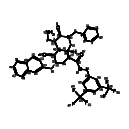 NC[C@H]1C(=O)N(Cc2ccccc2)C[C@@H]2N(C(=O)OCc3cc(C(F)(F)F)cc(C(F)(F)F)c3)C[C@H](Cc3ccc4ccccc4c3)C(=O)N21